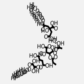 Br.Br.CC(=O)O.CCC(=O)OC(C(=O)O)C(O)C(=O)O.CO.Cl.I.I.I.O.O.O.O.O.O.O.O.O.O.O.O=C(O)C(=O)O.O=C(O)CC(O)(CC(=O)O)C(=O)O.O=C(O)CCC(=O)O